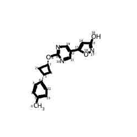 Cc1ccc([C@H]2C[C@@H](Oc3ncc(-c4cc(O)no4)cn3)C2)cc1